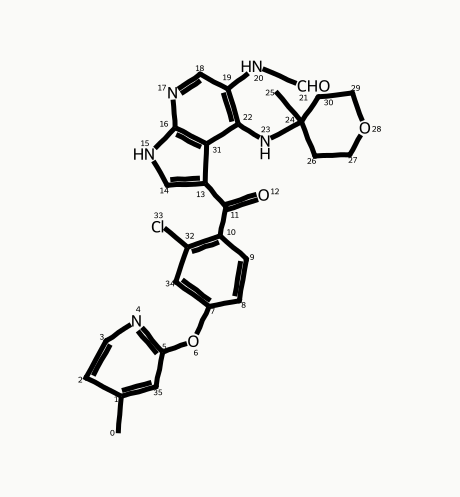 Cc1ccnc(Oc2ccc(C(=O)c3c[nH]c4ncc(NC=O)c(NC5(C)CCOCC5)c34)c(Cl)c2)c1